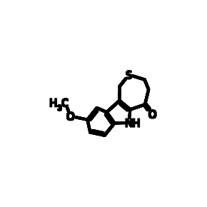 COc1ccc2[nH]c3c(c2c1)CSCCC3=O